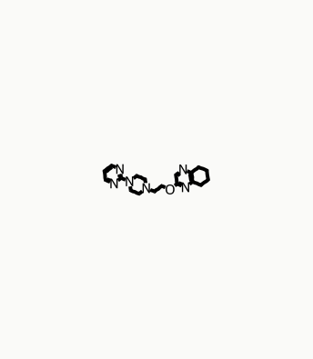 c1cnc(N2CCN(CCOc3cnc4c(n3)CCCC4)CC2)nc1